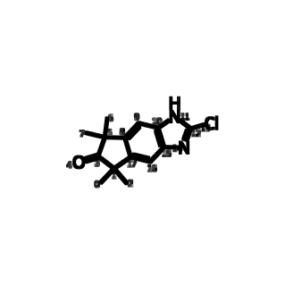 CC1(C)C(=O)C(C)(C)c2cc3[nH]c(Cl)nc3cc21